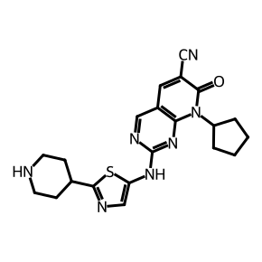 N#Cc1cc2cnc(Nc3cnc(C4CCNCC4)s3)nc2n(C2CCCC2)c1=O